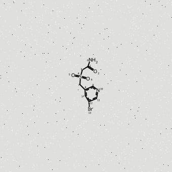 NC(=O)CS(=O)(=O)Cc1cncc(Br)c1